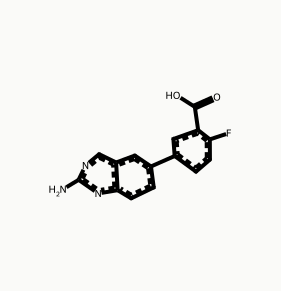 Nc1ncc2cc(-c3ccc(F)c(C(=O)O)c3)ccc2n1